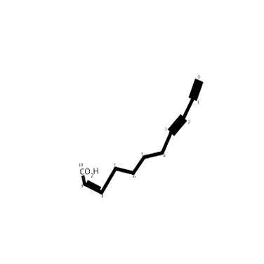 C#CC#CCCCC/C=C\C(=O)O